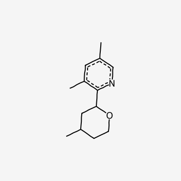 Cc1cnc(C2CC(C)CCO2)c(C)c1